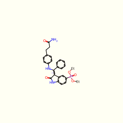 CCOP(=O)(OCC)c1ccc2c(c1)/C(=C(/Nc1ccc(CCC(N)=O)cc1)c1ccccc1)C(=O)N2